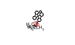 CC1(C)OB(c2ccc3c(c2)C2(c4ccccc4-c4ccccc42)c2c-3ccc3ccccc23)OC1(C)C